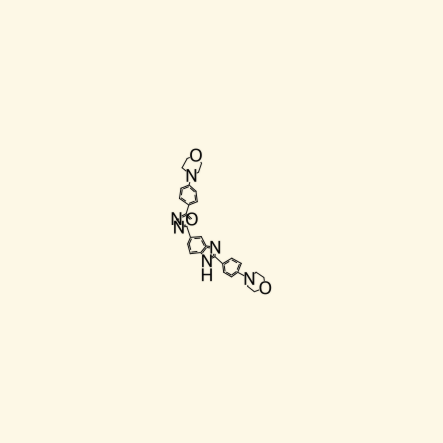 c1cc(N2CCOCC2)ccc1-c1nc2cc(-c3nnc(-c4ccc(N5CCOCC5)cc4)o3)ccc2[nH]1